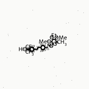 CCO[C@@H]1[C@@H](OC)[C@H](C)O[C@@H](O/N=C/c2ccc(/C=C/c3ccc(C(O)(C(F)(F)F)C(F)(F)F)cc3)cc2)[C@@H]1OC